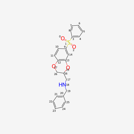 O=S(=O)(c1ccccc1)c1ccc2c(c1)OC(CNCc1ccccc1)CO2